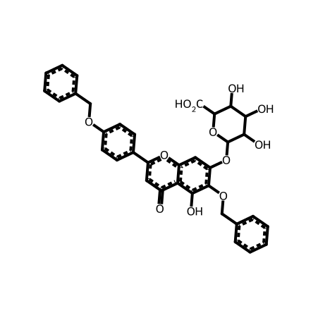 O=C(O)C1OC(Oc2cc3oc(-c4ccc(OCc5ccccc5)cc4)cc(=O)c3c(O)c2OCc2ccccc2)C(O)C(O)C1O